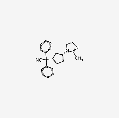 CC1=NCCN1[C@@H]1CC[C@@H](C(C#N)(c2ccccc2)c2ccccc2)C1